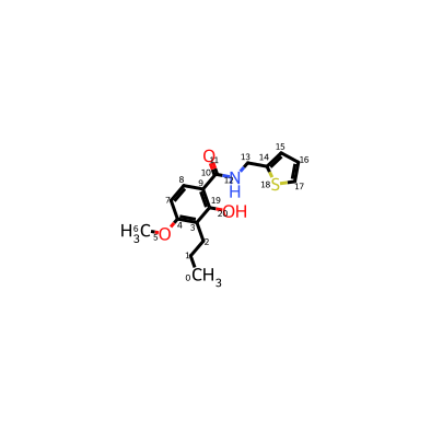 CCCc1c(OC)ccc(C(=O)NCc2cccs2)c1O